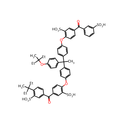 CCC(C)(CC)Oc1ccc(C(C)(c2ccc(Oc3ccc(C(=O)c4cccc(S(=O)(=O)O)c4)cc3S(=O)(=O)O)cc2)c2ccc(Oc3ccc(C(=O)c4ccc(C(C)(CC)CC)c(S(=O)(=O)O)c4)cc3S(=O)(=O)O)cc2)cc1